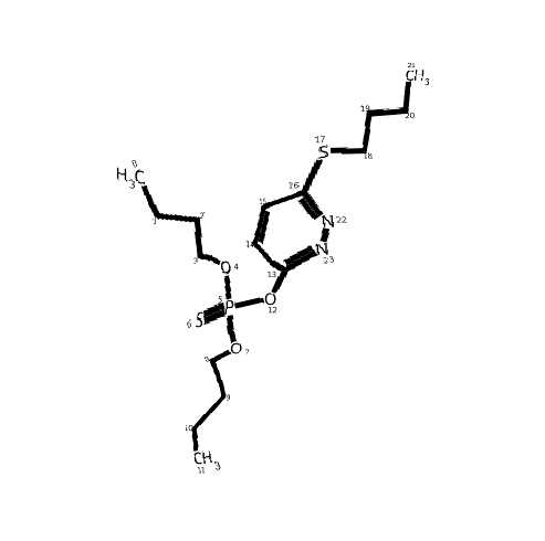 CCCCOP(=S)(OCCCC)Oc1ccc(SCCCC)nn1